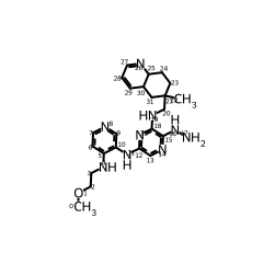 COCCNc1ccncc1Nc1cnc(NN)c(NCC2(C)CCC3N=CC=CC3C2)n1